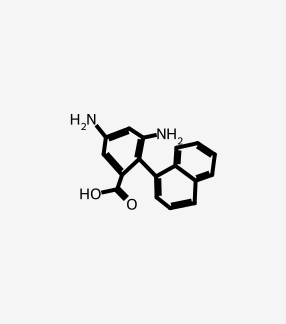 Nc1cc(N)c(-c2cccc3ccccc23)c(C(=O)O)c1